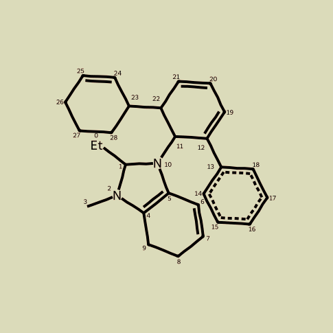 CCC1N(C)C2=C(C=CCC2)N1C1C(c2ccccc2)=CC=CC1C1C=CCCC1